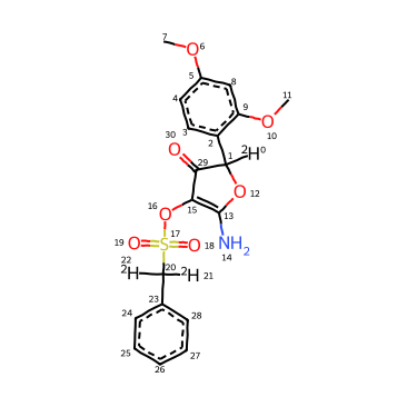 [2H]C1(c2ccc(OC)cc2OC)OC(N)=C(OS(=O)(=O)C([2H])([2H])c2ccccc2)C1=O